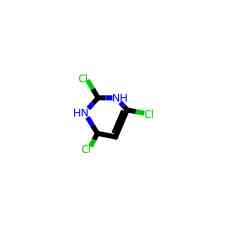 ClC1=CC(Cl)NC(Cl)N1